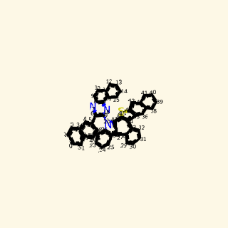 c1ccc2cc(-c3nc4ccc5ccccc5c4nc3-n3c4ccccc4c4c5ccccc5c5c6cc7ccccc7cc6sc5c43)ccc2c1